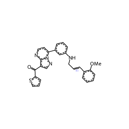 COc1ccccc1/C=C/CNc1cccc(-c2ccnc3c(C(=O)c4cccs4)cnn23)c1